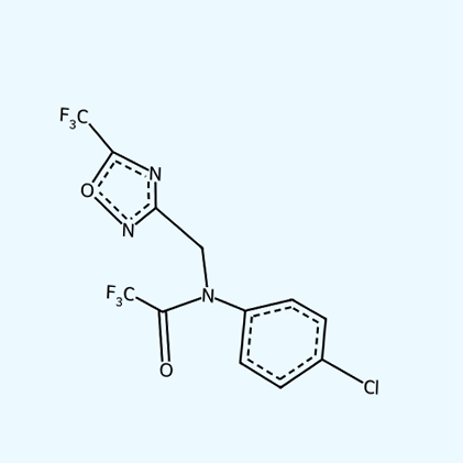 O=C(N(Cc1noc(C(F)(F)F)n1)c1ccc(Cl)cc1)C(F)(F)F